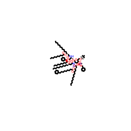 CCCCCCCCCCC[C@H](CC(=O)NC1C(OC[C@@H](NC(=O)C[C@@H](CCCCCCCCCCC)OC(=O)CCCCCCCCC)C(=O)OCc2ccccc2)OC(CO[Si](C)(C)C(C)(C)C)C(OP(C)(=O)OCc2ccccc2)C1OC(=O)C[C@@H](CCCCCCCCCCC)OC(=O)CCCCCCCCc1ccccc1)OC(=O)CCCCCCCCC